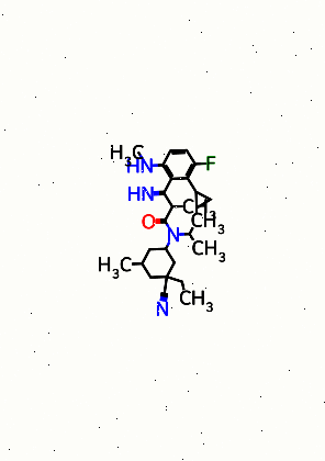 CCC1(C#N)CC(C)CC(N(C(=O)C(C)C(=N)c2c(NC)ccc(F)c2C2CC2)C(C)C)C1